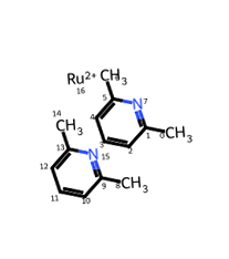 Cc1cccc(C)n1.Cc1cccc(C)n1.[Ru+2]